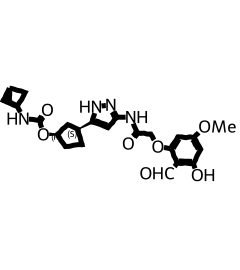 COc1cc(O)c(C=O)c(OCC(=O)Nc2cc([C@H]3CC[C@@H](OC(=O)NC45CC(C4)C5)C3)[nH]n2)c1